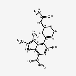 Cc1[nH]c2c(C(N)=O)cc(F)c(C3=CCC[C@H](OC(N)=O)C3)c2c1C